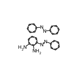 Nc1cccc(N=Nc2ccccc2)c1N.c1ccc(N=Nc2ccccc2)cc1